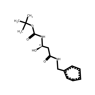 CC(C)(C)OC(=O)N[C@H](O)CC(=O)NCc1ccccc1